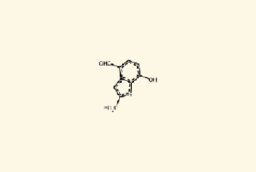 O=Cc1ccc(O)c2sc(C(=O)O)cc12